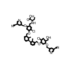 CCC(NCc1cc(Cl)c(OCc2cccc(-c3cccc(COc4cc(OCc5cncc(C#N)c5)c(CO)cc4Cl)c3C)c2C)cc1OCc1cncc(C#N)c1)C(=O)O